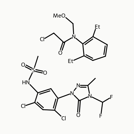 CCc1cccc(CC)c1N(COC)C(=O)CCl.Cc1nn(-c2cc(NS(C)(=O)=O)c(Cl)cc2Cl)c(=O)n1C(F)F